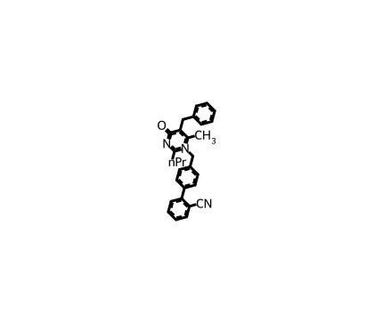 CCCc1nc(=O)c(Cc2ccccc2)c(C)n1Cc1ccc(-c2ccccc2C#N)cc1